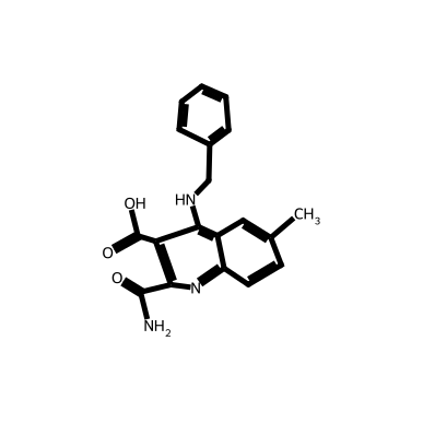 Cc1ccc2nc(C(N)=O)c(C(=O)O)c(NCc3ccccc3)c2c1